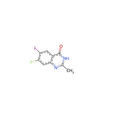 Cc1nc2cc(F)c(I)cc2c(=O)[nH]1